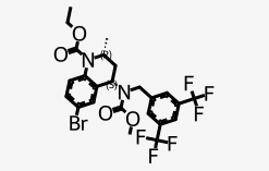 CCOC(=O)N1c2ccc(Br)cc2[C@@H](N(Cc2cc(C(F)(F)F)cc(C(F)(F)F)c2)C(=O)OC)C[C@H]1C